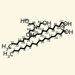 CCCCCCCCCCCCCCCCCC(=O)O.CCCCCCCCCCCCCCCCCCO.OCCN(CCO)CCO